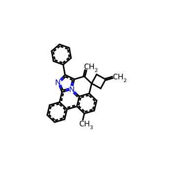 C=C1CC2(C1)C(=C)c1c(-c3ccccc3)nc3c4ccccc4c4c(C)ccc2c4n13